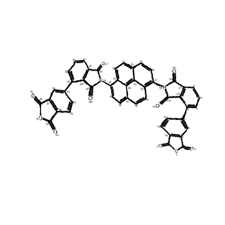 O=C1OC(=O)c2cc(-c3cccc4c3C(=O)N(c3ccc5ccc6c(N7C(=O)c8cccc(-c9ccc%10c(c9)C(=O)OC%10=O)c8C7=O)ccc7ccc3c5c76)C4=O)ccc21